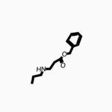 CCCNCCC(=O)OCc1ccccc1